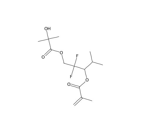 C=C(C)C(=O)OC(C(C)C)C(F)(F)COC(=O)C(C)(C)O